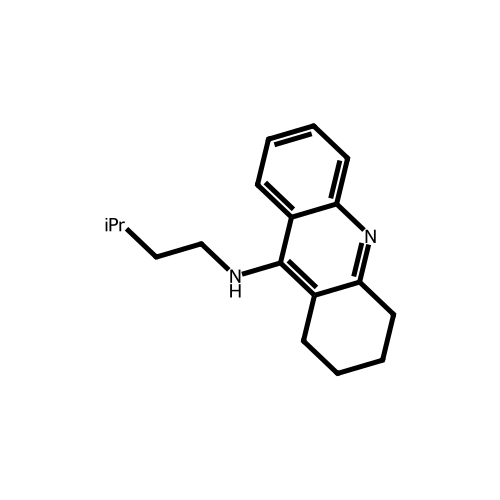 CC(C)CCNc1c2c(nc3ccccc13)CCCC2